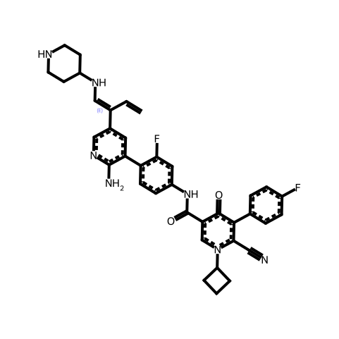 C=C/C(=C\NC1CCNCC1)c1cnc(N)c(-c2ccc(NC(=O)c3cn(C4CCC4)c(C#N)c(-c4ccc(F)cc4)c3=O)cc2F)c1